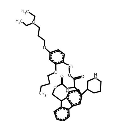 CCCCOc1cc(OCCCN(CC)CC)ccc1NOC(=O)C(CC1CCCNC1)NC(=O)OCC1c2ccccc2-c2ccccc21